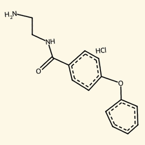 Cl.NCCNC(=O)c1ccc(Oc2ccccc2)cc1